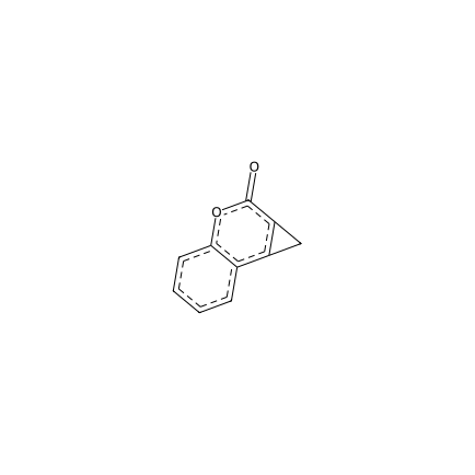 O=c1oc2ccccc2c2c1C2